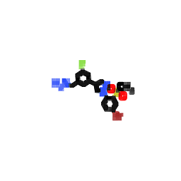 CS(=O)(=O)c1cc(Br)ccc1-n1cc(-c2cc(F)cc(CN)c2)cn1